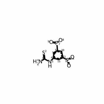 NC(=S)Nc1cc(P(=O)=O)cc(P(=O)=O)c1